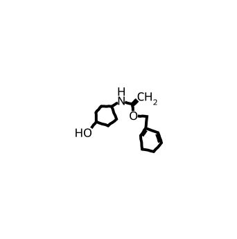 C=C(NC1CCC(O)CC1)OCC1=CCCC=C1